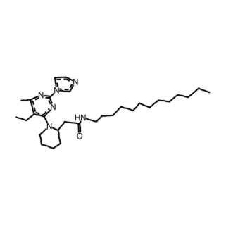 CCCCCCCCCCCCCNC(=O)CC1CCCCN1c1nc(-n2ccnc2)nc(C)c1CC